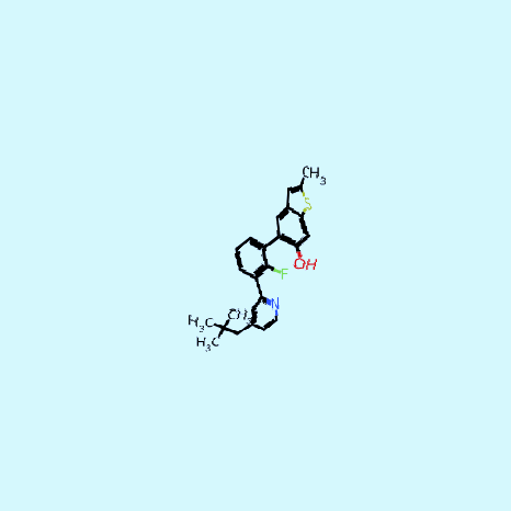 Cc1cc2cc(-c3cccc(-c4cc(CC(C)(C)C)ccn4)c3F)c(O)cc2s1